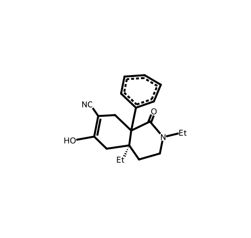 CCN1CC[C@@]2(CC)CC(O)=C(C#N)CC2(c2ccccc2)C1=O